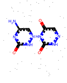 Nc1cn[nH]c(=O)n1.O=c1cn[nH]c(=O)[nH]1